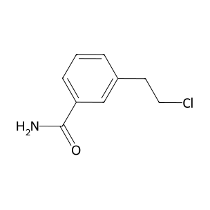 NC(=O)c1cccc(CCCl)c1